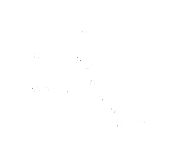 CCN(c1cc(C)cc(C(=O)OC)c1-c1ccc(N2CCN(C(=O)OC(C)(C)C)CC2)nc1)C1CCOCC1